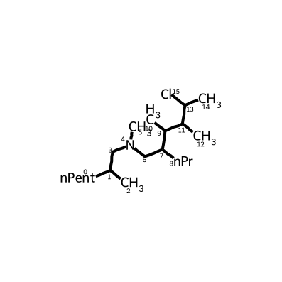 CCCCCC(C)CN(C)CC(CCC)C(C)C(C)C(C)Cl